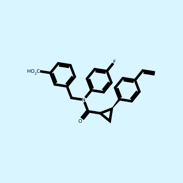 C=Cc1ccc([C@H]2CC2C(=O)N(Cc2cccc(C(=O)O)c2)c2ccc(F)cc2)cc1